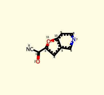 N#CC(=O)c1cc2cnccc2o1